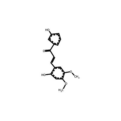 COc1cc(O)c(C=CC(=O)c2cccc(O)c2)cc1OC